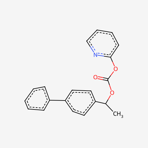 CC(OC(=O)Oc1ccccn1)c1ccc(-c2ccccc2)cc1